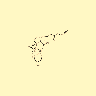 C[C@H](CCC(=O)CCC#N)[C@H]1CC[C@H]2[C@@H]3[C@H](O)C[C@@H]4C[C@H](O)CC[C@]4(C)[C@H]3C[C@H](O)[C@]12C